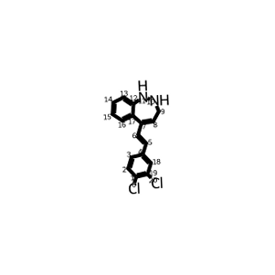 Clc1ccc(C=CC2=CCNNc3ccccc32)cc1Cl